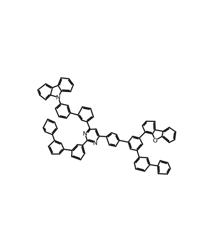 c1ccc(-c2cccc(-c3cccc(-c4nc(-c5ccc(-c6cc(-c7cccc(-c8ccccc8)c7)cc(-c7cccc8c7oc7ccccc78)c6)cc5)cc(-c5cccc(-c6cccc(-n7c8ccccc8c8ccccc87)c6)c5)n4)c3)c2)cc1